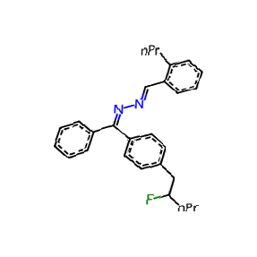 CCCc1ccccc1C=NN=C(c1ccccc1)c1ccc(CC(F)CCC)cc1